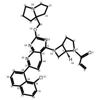 C=CC(=O)N1CCC2[C@H]1CN2c1nc(OCC23CCCN2CCC3)nc2nc(-c3cccc4cccc(Cl)c34)ccc12